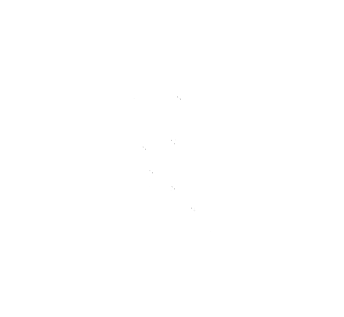 Cc1cc(C(F)(F)F)c(C#N)c(N2CCCC2c2nccn2-c2ccc(F)c(C)n2)n1